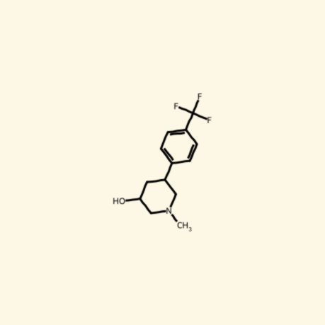 CN1CC(O)CC(c2ccc(C(F)(F)F)cc2)C1